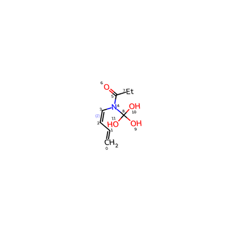 C=C/C=C\N(C(=O)CC)C(O)(O)O